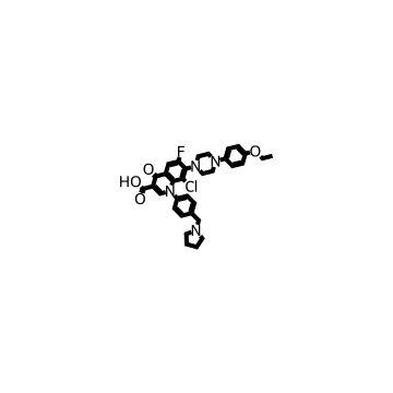 CCOc1ccc(N2CCN(c3c(F)cc4c(=O)c(C(=O)O)cn(-c5ccc(CN6CCCC6)cc5)c4c3Cl)CC2)cc1